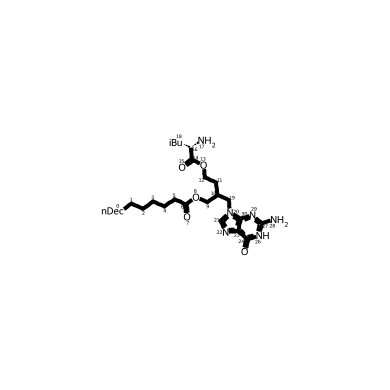 CCCCCCCCCCCCCCCC(=O)OCC(CCOC(=O)[C@@H](N)[C@@H](C)CC)Cn1cnc2c(=O)[nH]c(N)nc21